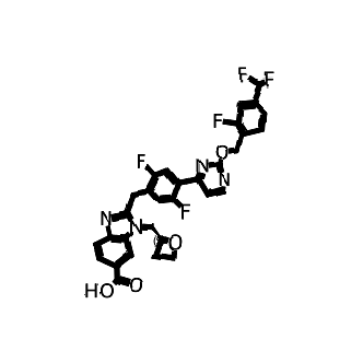 O=C(O)c1ccc2nc(Cc3cc(F)c(-c4ccnc(OCc5ccc(C(F)F)cc5F)n4)cc3F)n(C[C@@H]3CCO3)c2c1